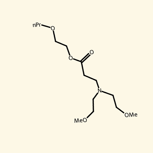 CCCOCCOC(=O)CCN(CCOC)CCOC